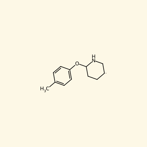 Cc1ccc(OC2CC[CH]CN2)cc1